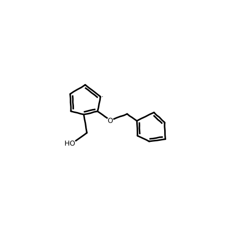 OCc1ccc[c]c1OCc1ccccc1